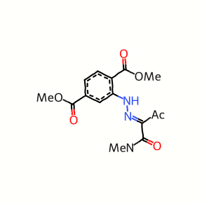 CNC(=O)/C(=N/Nc1cc(C(=O)OC)ccc1C(=O)OC)C(C)=O